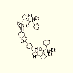 CCN(CC)[C@H](c1ccccc1)C(O)N1CCC[C@H]1c1ncc(-c2ccc(-c3cc4cc(-c5cnc([C@@H]6CCCN6C(=O)[C@@H](c6ccccc6)N(CC)CC)[nH]5)ccc4o3)cc2)[nH]1